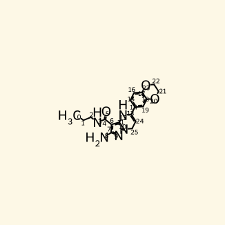 CCCNC(=O)c1c(N)nn2c1NC(c1ccc3c(c1)OCCO3)=CC2